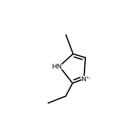 CCC1=[N+]C=C(C)N1